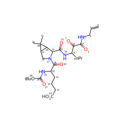 C=CCNC(=O)C(=O)C(CCC)NC(=O)C1C2C(CN1C(=O)C(CCCC(=O)O)NC(=O)OCC(C)C)C2(C)C